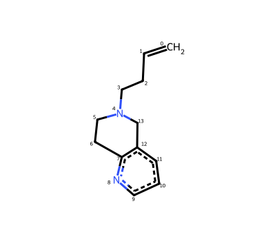 C=CCCN1CCc2ncccc2C1